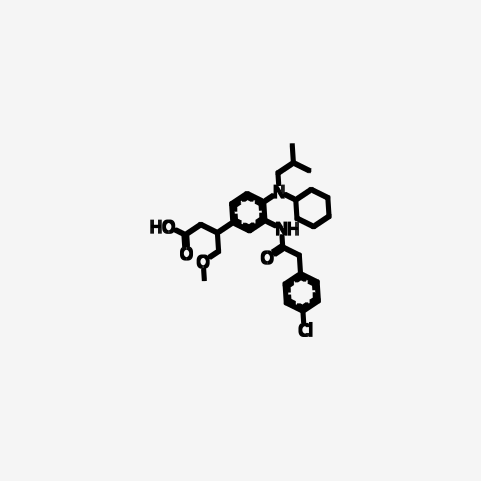 COCC(CC(=O)O)c1ccc(N(CC(C)C)C2CCCCC2)c(NC(=O)Cc2ccc(Cl)cc2)c1